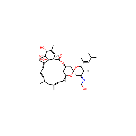 CC1=C[C@H]2C(=O)O[C@H]3C[C@@H](C/C=C(\C)C[C@@H](C)/C=C/C=C4\CO[C@H]([C@@H]1O)[C@@]42O)O[C@@]1(C/C(=N\CO)[C@H](C)[C@@H](/C(C)=C/C(C)C)O1)C3